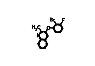 Cc1nc2ccccc2cc1Oc1cccc(F)c1Br